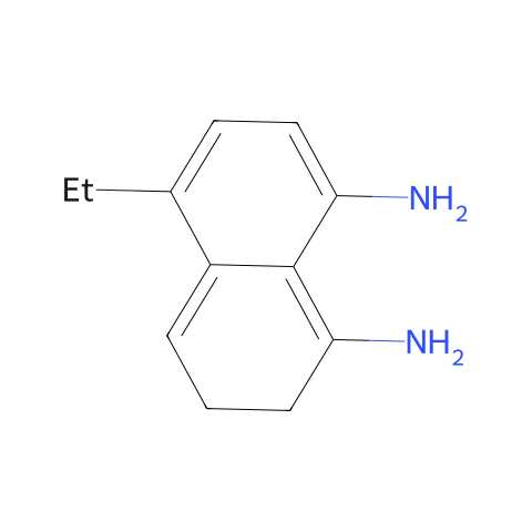 CCc1ccc(N)c2c1=CCCC=2N